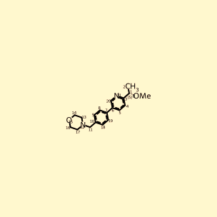 CO[C@@H](C)c1ccc(-c2ccc(CN3CCOCC3)cc2)cn1